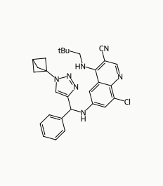 CC(C)(C)CNc1c(C#N)cnc2c(Cl)cc(NC(c3ccccc3)c3cn(C45CC(C4)C5)nn3)cc12